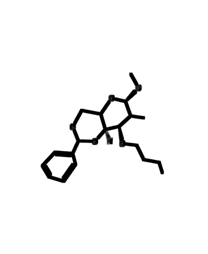 CCCCO[C@@H]1C(C)[C@H](OC)OC2COC(c3ccccc3)O[C@@H]21